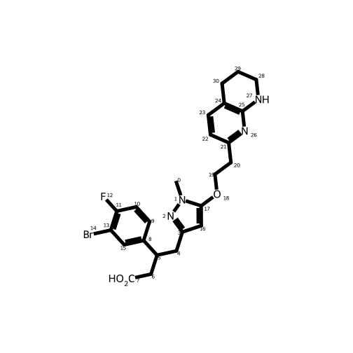 Cn1nc(CC(CC(=O)O)c2ccc(F)c(Br)c2)cc1OCCc1ccc2c(n1)NCCC2